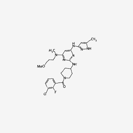 COCCN(C)c1cc(Nc2cc(C)[nH]n2)nc(NC2CCN(C(=O)c3cccc(Cl)c3F)CC2)n1